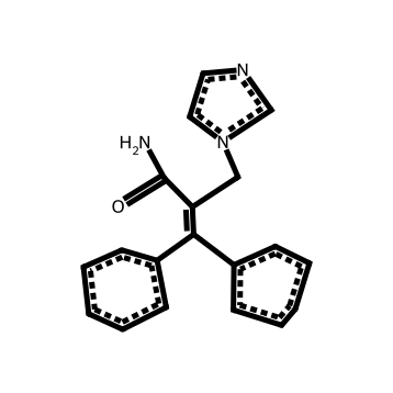 NC(=O)C(Cn1ccnc1)=C(c1ccccc1)c1ccccc1